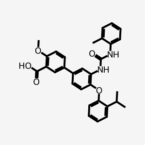 COc1ccc(-c2ccc(Oc3ccccc3C(C)C)c(NC(=O)Nc3ccccc3C)c2)cc1C(=O)O